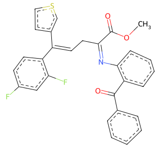 COC(=O)C(CC=C(c1ccsc1)c1ccc(F)cc1F)=Nc1ccccc1C(=O)c1ccccc1